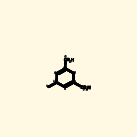 CN1C=C(C(=O)O)CC(C(=O)O)=C1